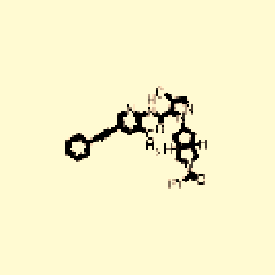 Cc1cc(C#Cc2ccccc2)cnc1NC(=O)c1c(Cl)cnn1C1C[C@@H]2CN(C(=O)C(C)C)C[C@@H]2C1